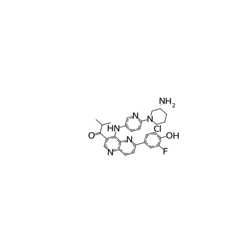 CC(C)C(=O)c1cnc2ccc(-c3cc(F)c(O)c(Cl)c3)nc2c1Nc1ccc(N2CCC[C@@H](N)C2)nc1